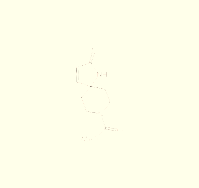 COC(=O)N1CCC2(C=CC(=O)N2)CC1